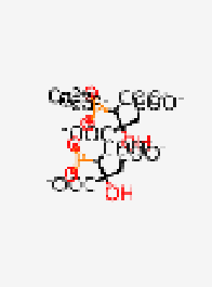 O=C([O-])CC(O)(C(=O)[O-])C(C(=O)[O-])P(=O)=O.O=C([O-])CC(O)(C(=O)[O-])C(C(=O)[O-])P(=O)=O.[Ca+2].[Ca+2].[Ca+2]